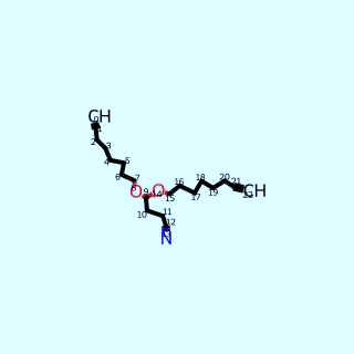 C#CCCCCCCOC(CCC#N)OCCCCCCC#C